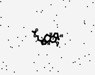 CO[C@@H]1C[C@H]2[C@@H]3CC=C([C@H](C)COC(C)=O)[C@@]3(C)CC[C@@H]2[C@@]2(C)CC[C@H]3C[C@]312